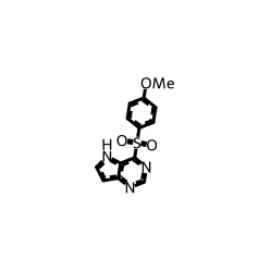 COc1ccc(S(=O)(=O)c2ncnc3cc[nH]c23)cc1